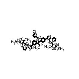 CCc1c2n(c3ccc(-c4cnc([C@@H]5CCCN5C(=O)[C@@H](NC(=O)OC)C(C)C)[nH]4)cc13)C(c1ccc(Cl)s1)Oc1cc(-c3cnc([C@@H]4CCCN4C(=O)[C@@H](NC(=O)OC)C(C)C)[nH]3)cc(F)c1-2